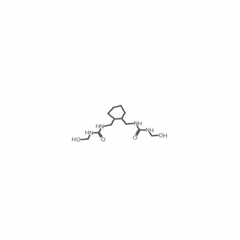 O=C(NCO)NCC1CCCCC1CNC(=O)NCO